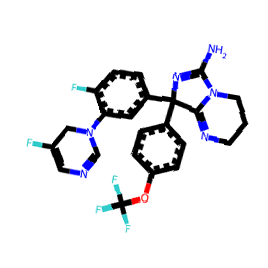 NC1=NC(c2ccc(OC(F)(F)F)cc2)(c2ccc(F)c(N3C=NC=C(F)C3)c2)C2=NCCCN12